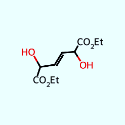 CCOC(=O)C(O)C=CC(O)C(=O)OCC